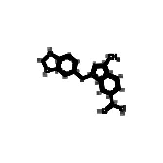 Cc1cn(Cc2ccc3c(c2)OCO3)c2cc(C(=O)Cl)ccc12